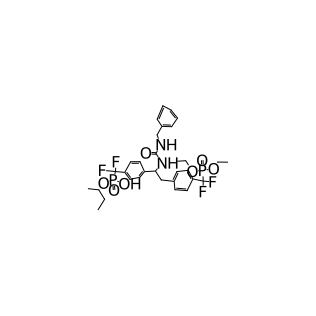 CCOP(=O)(OCC)C(F)(F)c1ccc(CC(NC(=O)NCc2ccccc2)c2ccc(C(F)(F)P(=O)(O)OC(C)CC)cc2)cc1